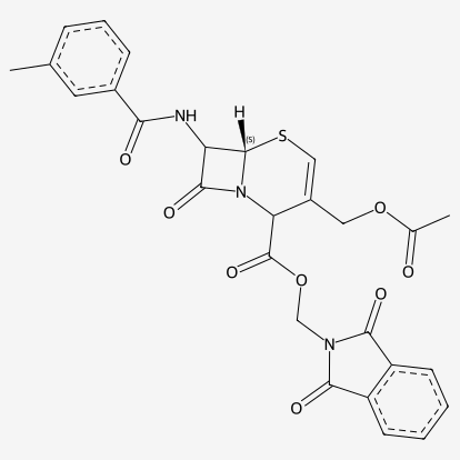 CC(=O)OCC1=CS[C@H]2C(NC(=O)c3cccc(C)c3)C(=O)N2C1C(=O)OCN1C(=O)c2ccccc2C1=O